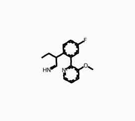 CCC(C=N)c1ccc(F)cc1-c1ncccc1OC